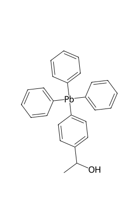 CC(O)c1cc[c]([Pb]([c]2ccccc2)([c]2ccccc2)[c]2ccccc2)cc1